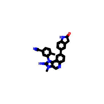 Cc1ccc(C#N)cc1-n1c(=N)n(C)c2cnc3ccc(-c4ccc5c(c4)CC(=O)N5)cc3c21